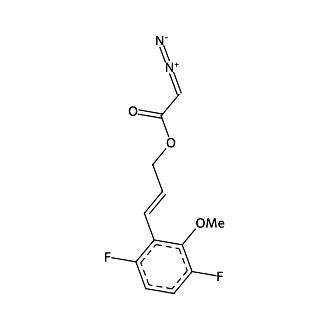 COc1c(F)ccc(F)c1C=CCOC(=O)C=[N+]=[N-]